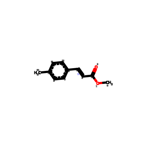 COC(=O)/C=C/c1ccc(C)cc1